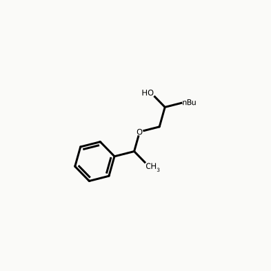 CCCCC(O)COC(C)c1ccccc1